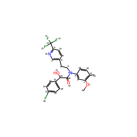 COc1cc(N(CCc2ccc(C(F)(F)F)nc2)C(=O)C(O)c2ccc(F)cc2)ccc1C